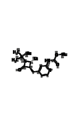 CC[C@@H]1[C@@H](Cc2ccnc(NC(=O)OC(C)(C)C)c2)C(=O)N1[Si](C)(C)C(C)(C)C